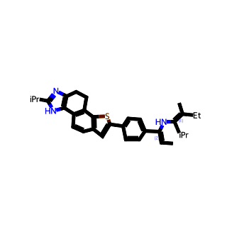 C/C=C(\N/C(=C(\C)CC)C(C)C)c1ccc(-c2cc3ccc4c(c3s2)CCc2nc(C(C)C)[nH]c2-4)cc1